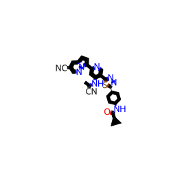 CC(C#N)Nc1cc(-c2ccc3cc(C#N)cnn23)ncc1-c1nnc([C@H]2CC[C@H](NC(=O)C3CC3)CC2)s1